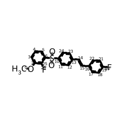 COc1cccc(S(=O)(=O)c2ccc(C=Cc3ccc(F)cc3)cc2)c1F